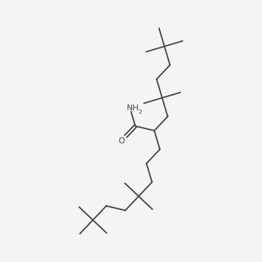 CC(C)(C)CCC(C)(C)CCCC(CC(C)(C)CCC(C)(C)C)C(N)=O